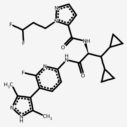 Cc1n[nH]c(C)c1-c1ccc(NC(=O)[C@@H](NC(=O)c2ccnn2CCC(F)F)C(C2CC2)C2CC2)nc1F